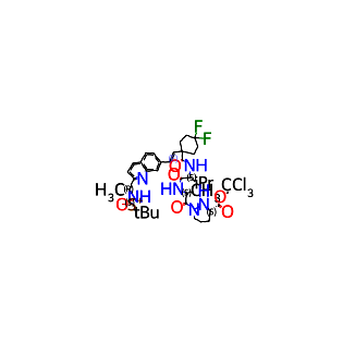 CC(C)[C@H](NC(=O)C1(/C=C/c2ccc3ccc([C@@H](C)N[S@+]([O-])C(C)(C)C)nc3c2)CCC(F)(F)CC1)C(=O)N[C@@H](C)C(=O)N1CCC[C@@H](C(=O)OCC(Cl)(Cl)Cl)N1